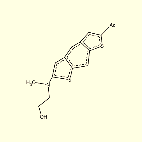 CC(=O)c1cc2cc3cc(N(C)CCO)sc3cc2s1